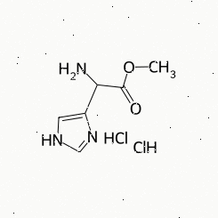 COC(=O)C(N)c1c[nH]cn1.Cl.Cl